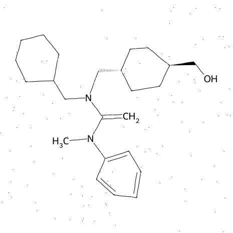 C=C(N(CC1CCCCC1)C[C@H]1CC[C@H](CO)CC1)N(C)c1ccccc1